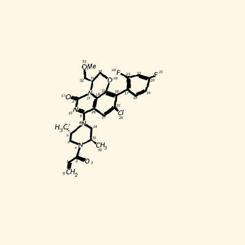 C=CC(=O)N1C[C@H](C)N(c2nc(=O)n3c4c(c(-c5ccc(F)cc5F)c(Cl)cc24)OC[C@@H]3COC)C[C@H]1C